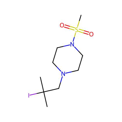 CC(C)(I)CN1CCN(S(C)(=O)=O)CC1